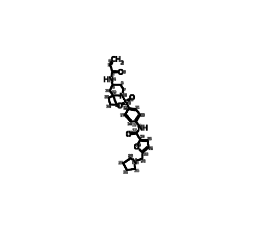 C=CC(=O)NC1CCN(S(=O)(=O)c2ccc(NC(=O)c3ccc(CN4CCCC4)o3)cc2)C2(CCC2)C1